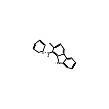 Cc1ccc2c([nH]c3ccccc32)c1N[C@H]1C=CC=CC1